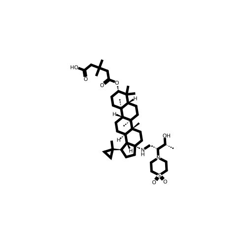 C[C@@H](O)[C@@H](CN[C@]12CC[C@@H](C3(C)CC3)[C@@H]1[C@H]1CC[C@@H]3[C@@]4(C)CC[C@H](OC(=O)CC(C)(C)CC(=O)O)C(C)(C)[C@@H]4CC[C@@]3(C)[C@]1(C)CC2)N1CCS(=O)(=O)CC1